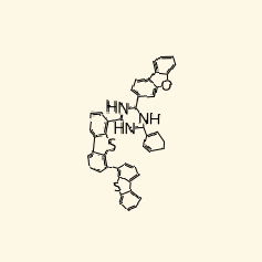 C1=CC(C2NC(c3ccc4c(c3)oc3ccccc34)NC(c3cccc4c3sc3c(-c5cccc6c5sc5ccccc56)cccc34)N2)=CCC1